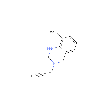 C#CCN1CNc2c(cccc2OC)C1